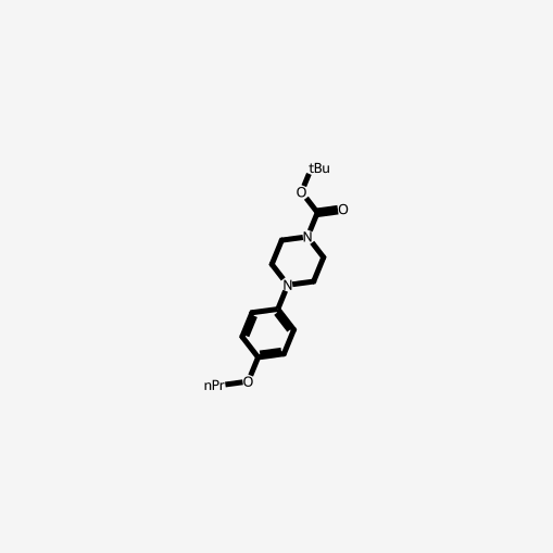 CCCOc1ccc(N2CCN(C(=O)OC(C)(C)C)CC2)cc1